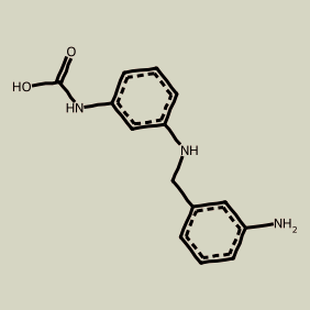 Nc1cccc(CNc2cccc(NC(=O)O)c2)c1